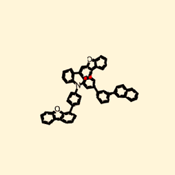 c1cc(-c2cccc(N(c3ccc(-c4cccc5c4oc4ccccc45)cc3)c3ccccc3-c3ccc4c(c3)oc3ccccc34)c2)cc(-c2ccc3ccccc3c2)c1